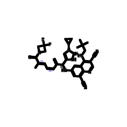 C=C(/C=C\C=C(/C)C(=O)N1CC(F)(F)C1)[C@H](Nc1cc(C#N)c2ncc(C#N)c(NCC(C)(C)C)c2c1)C1=CN(C2CC2)NN1